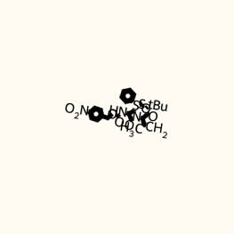 C=C(C)C(C(=O)OC(C)(C)C)N1C(=O)C(NC(=O)OCc2ccc([N+](=O)[O-])cc2)C1S(=S)c1ccccc1